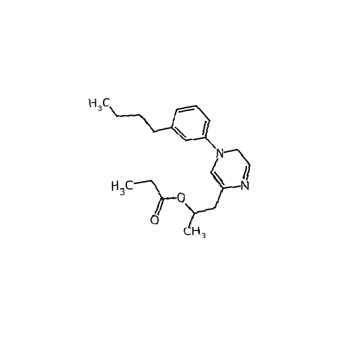 CCCCc1cccc(N2C=C(CC(C)OC(=O)CC)N=CC2)c1